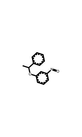 CC(Oc1cccc(N=O)c1)c1ccccc1